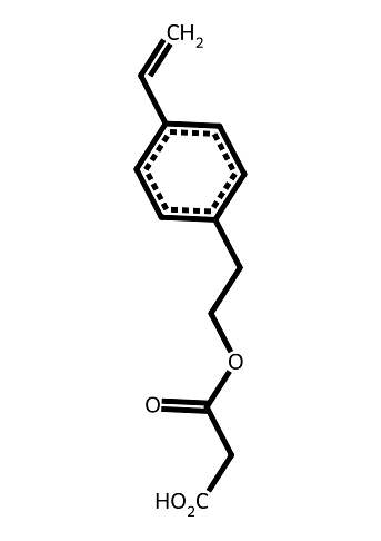 C=Cc1ccc(CCOC(=O)CC(=O)O)cc1